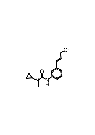 [O]CC=Cc1cccc(NC(=O)NC2CC2)c1